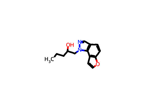 CCCC(O)Cn1ncc2ccc3occc3c21